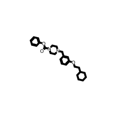 O=C(Oc1ccccc1)N1CCN(Cc2cccc(OCCC3CCCCC3)c2)CC1